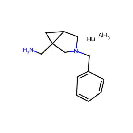 NCC12CC1CN(Cc1ccccc1)C2.[AlH3].[LiH]